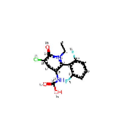 CCn1c(-c2c(F)cccc2F)c(NC(=O)O)cc(Cl)c1=O